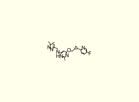 Cc1nc(NCc2nnc(C)s2)cc(OCC2CC2c2ccc(F)cn2)n1